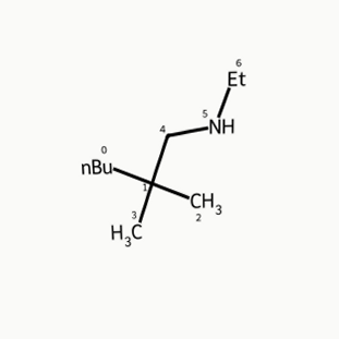 CCCCC(C)(C)CNCC